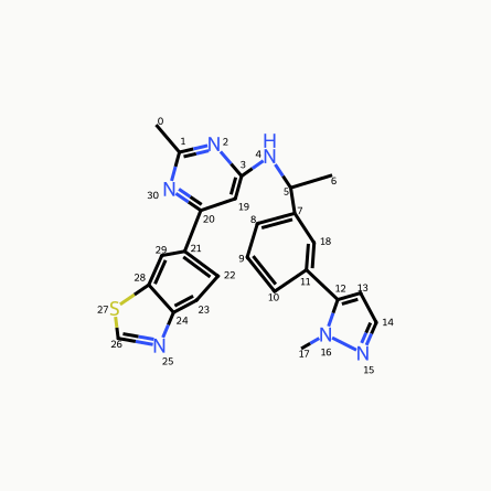 Cc1nc(NC(C)c2cccc(-c3ccnn3C)c2)cc(-c2ccc3ncsc3c2)n1